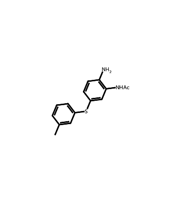 CC(=O)Nc1cc(Sc2cccc(C)c2)ccc1N